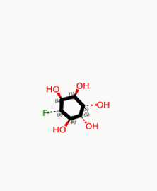 O[C@@H]1[C@H](O)[C@@H](O)[C@H](F)[C@@H](O)[C@H]1O